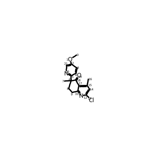 COc1ccc(C2(C)CCc3nc(Cl)cc(C)c3C2=O)nc1